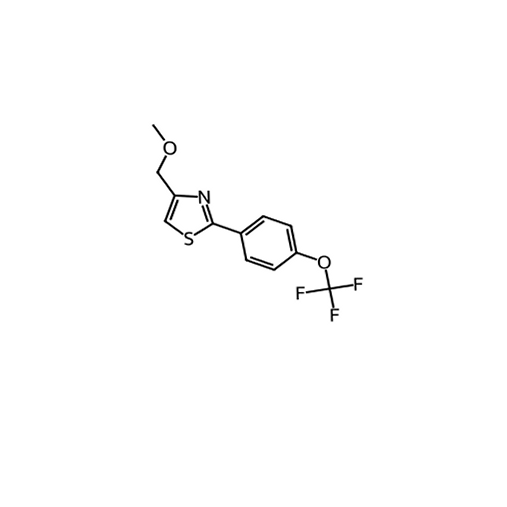 COCc1csc(-c2ccc(OC(F)(F)F)cc2)n1